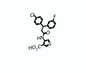 O=C(CC(c1ccc(Cl)cc1)c1cccc(F)c1)Nc1cscc1C(=O)O